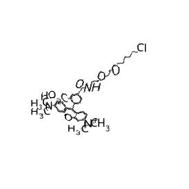 CN(C)c1ccc2c(-c3ccc(C(=O)NCCOCCOCCCCCCCl)cc3C(=O)O)c3ccc(=[N+](C)C)cc-3oc2c1